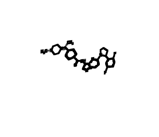 C[C@H](c1ccc(C(=O)Nc2cnn3ccc(N4CCCC4c4cc(F)ccc4F)nc23)cc1)N1CCN(C)CC1